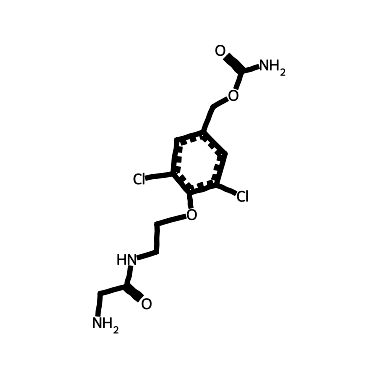 NCC(=O)NCCOc1c(Cl)cc(COC(N)=O)cc1Cl